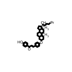 CC(C)CCCC(C)[C@H]1CCC2C3CCC4CC(Oc5ccc(C=CC(=O)c6ccc(O)cc6)cc5)CC[C@]4(C)C3CC[C@@]21C